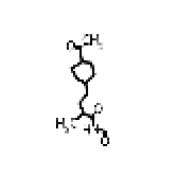 CC(=O)C1CCC(CCC(C)C(=O)NC=O)CC1